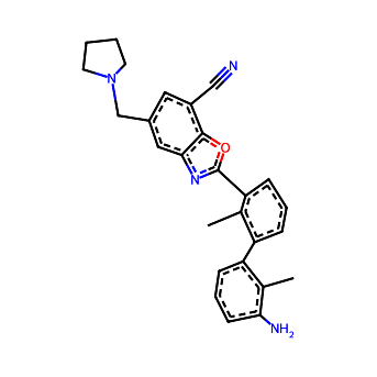 Cc1c(N)cccc1-c1cccc(-c2nc3cc(CN4CCCC4)cc(C#N)c3o2)c1C